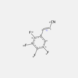 N#C/C=C/c1cc(F)c(F)c(F)c1F